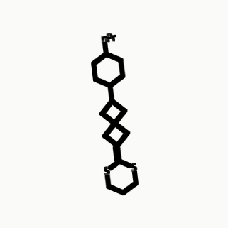 CCCC1CCC(C2CC3(CC(=C4SCCCS4)C3)C2)CC1